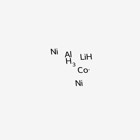 [AlH3].[Co].[LiH].[Ni].[Ni]